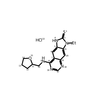 CCn1c(=S)[nH]c2cc3c(NCC4CCCO4)ncnc3cc21.Cl